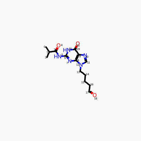 CC(C)C(=O)Nc1nc2c(ncn2CCCCC=O)c(=O)[nH]1